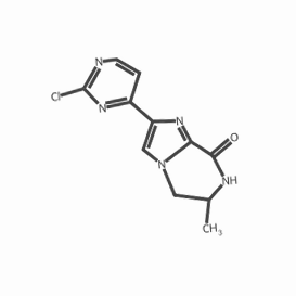 CC1Cn2cc(-c3ccnc(Cl)n3)nc2C(=O)N1